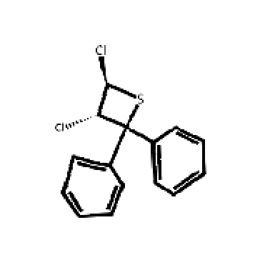 Cl[C@@H]1[C@@H](Cl)SC1(c1ccccc1)c1ccccc1